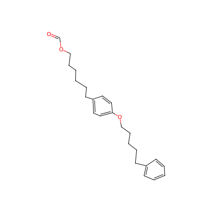 O=COCCCCCCc1ccc(OCCCCCc2ccccc2)cc1